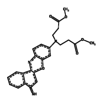 COC(=O)CCN(CCC(=O)OC)c1ccc2nc3c4ccccc4c(=N)cc-3oc2c1